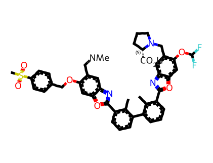 CNCc1cc2nc(-c3cccc(-c4cccc(-c5nc6cc(CN7CCC[C@H]7C(=O)O)c(OC(F)F)cc6o5)c4C)c3C)oc2cc1OCc1ccc(S(C)(=O)=O)cc1